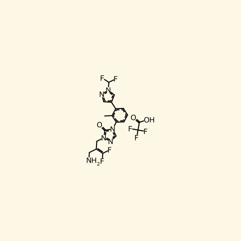 Cc1c(-c2cnn(C(F)F)c2)cccc1-n1cnn(CC(CN)=C(F)F)c1=O.O=C(O)C(F)(F)F